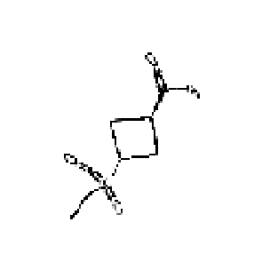 CC(C)(C)C(=O)[C@H]1C[C@H](S(C)(=O)=O)C1